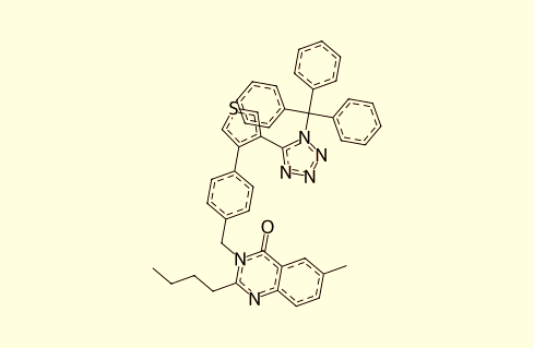 CCCCc1nc2ccc(C)cc2c(=O)n1Cc1ccc(-c2cscc2-c2nnnn2C(c2ccccc2)(c2ccccc2)c2ccccc2)cc1